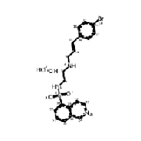 Cl.Cl.O=S(=O)(NCCNC/C=C/c1ccc(Br)cc1)c1cccc2cnccc12